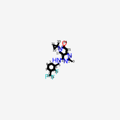 Cc1nc(NCc2cccc(C(F)F)c2F)c2cn(C3(C)CC3)c(=O)cc2n1